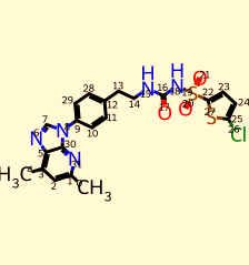 Cc1cc(C)c2ncn(-c3ccc(CCNC(=O)NS(=O)(=O)c4ccc(Cl)s4)cc3)c2n1